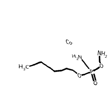 CCCCOP(N)(=O)ON.[Co]